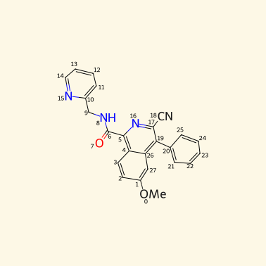 COc1ccc2c(C(=O)NCc3ccccn3)nc(C#N)c(-c3ccccc3)c2c1